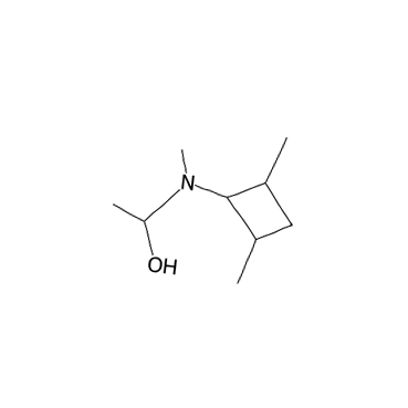 CC1CC(C)C1N(C)C(C)O